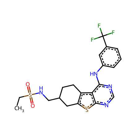 CCS(=O)(=O)NCC1CCc2c(sc3ncnc(Nc4cccc(C(F)(F)F)c4)c23)C1